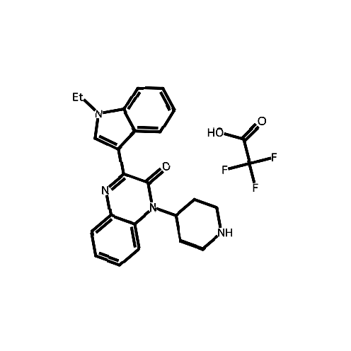 CCn1cc(-c2nc3ccccc3n(C3CCNCC3)c2=O)c2ccccc21.O=C(O)C(F)(F)F